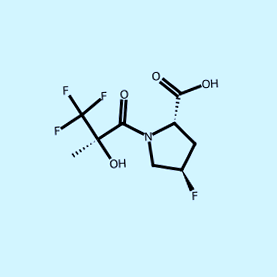 C[C@@](O)(C(=O)N1C[C@H](F)C[C@H]1C(=O)O)C(F)(F)F